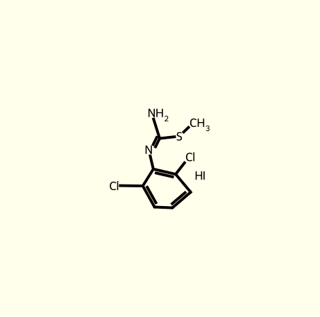 CSC(N)=Nc1c(Cl)cccc1Cl.I